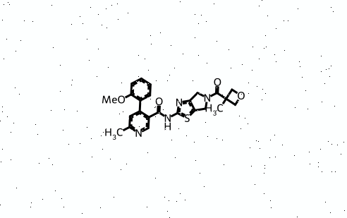 COc1ccccc1-c1cc(C)ncc1C(=O)Nc1nc2c(s1)CN(C(=O)C1(C)COC1)C2